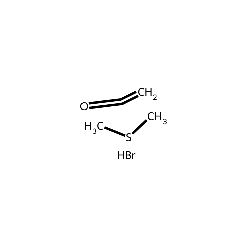 Br.C=C=O.CSC